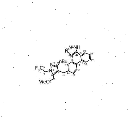 CCCCc1nn(CC(F)(F)F)c(COC)c1Cc1ccc(-c2ccccc2-c2nnn[nH]2)cc1